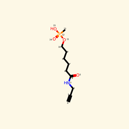 C#CCNC(=O)CCCCCOP(C)(=O)O